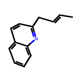 CC=CCc1ccc2ccccc2n1